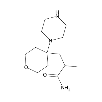 CC(CC1(N2CCNCC2)CCOCC1)C(N)=O